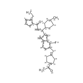 CCn1nccc1C(=O)NC(c1nc2c(F)c(CN3CCN(C(C)=O)CC3)ccc2[nH]1)C1CCC(C)CC1